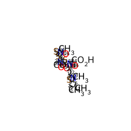 Cc1cc2c(cc1C)N(C)C(=CC=c1o/c(=c3/s/c(=C4/SC(=S)N(C)C4=O)n(CC(=O)O)c3=O)n(CC(=O)O)c1=O)S2